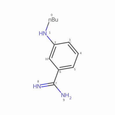 CCCCNc1[c]ccc(C(=N)N)c1